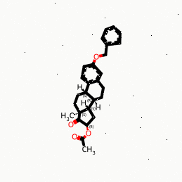 CC(=O)O[C@@H]1C[C@H]2[C@@H]3CCc4cc(OCc5ccccc5)ccc4[C@H]3CC[C@]2(C)C1=O